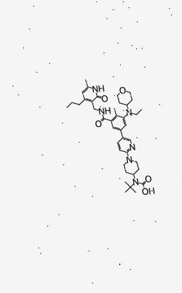 CCCc1cc(C)[nH]c(=O)c1CNC(=O)c1cc(-c2ccc(N3CCC(N(C(=O)O)C(C)(C)C)CC3)nc2)cc(N(CC)C2CCOCC2)c1C